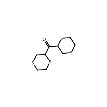 O=C(C1CSCCS1)C1CSCCS1